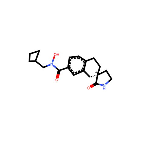 O=C(c1ccc2c(c1)C[C@@]1(CCNC1=O)CC2)N(O)CC1CCC1